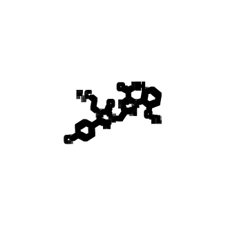 CCOc1ccccc1-n1nc(Cn2nc(-c3ccc(Cl)cc3)n(CCC(F)(F)F)c2=O)nc1C(N)=O